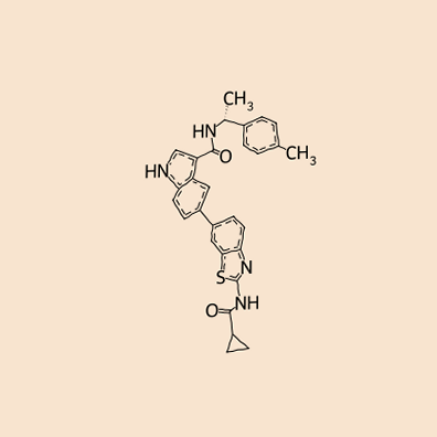 Cc1ccc([C@@H](C)NC(=O)c2c[nH]c3ccc(-c4ccc5nc(NC(=O)C6CC6)sc5c4)cc23)cc1